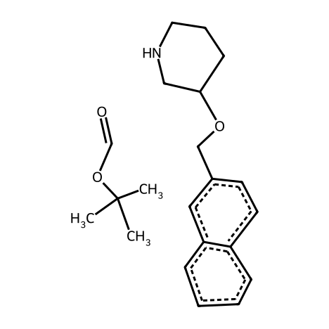 CC(C)(C)OC=O.c1ccc2cc(COC3CCCNC3)ccc2c1